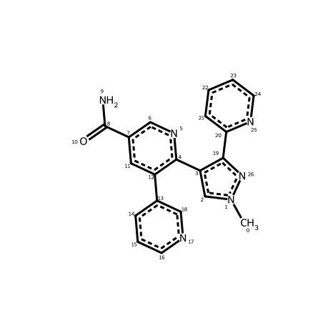 Cn1cc(-c2ncc(C(N)=O)cc2-c2cccnc2)c(-c2ccccn2)n1